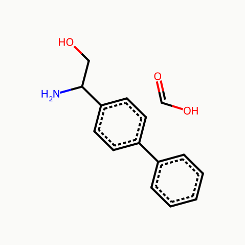 NC(CO)c1ccc(-c2ccccc2)cc1.O=CO